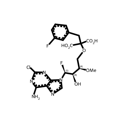 CO[C@H](COC(Cc1cccc(F)c1)(C(=O)O)C(=O)O)[C@@H](O)[C@H](F)n1cnc2c(N)nc(Cl)nc21